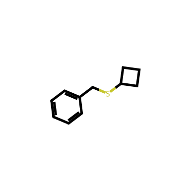 c1ccc(CSC2CCC2)cc1